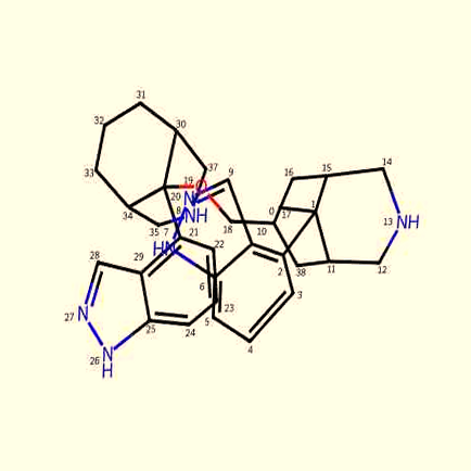 CC1(c2cccc3[nH]ncc23)C2CNCC1CC(COC1(c3cccc4[nH]ncc34)C3CCCC1CNC3)C2